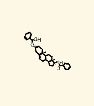 C[C@]12CC[C@H](OC(O)c3ccccc3)CC1=CCC1C2CC[C@@]2(C)C1CC[C@@H]2NC(=O)c1ccccc1